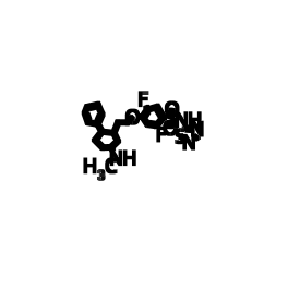 CNC1CCC(c2ccccc2)C(CCOc2cc(F)c(S(=O)(=O)Nc3ncns3)cc2F)C1